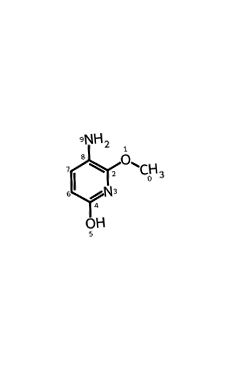 COc1nc(O)ccc1N